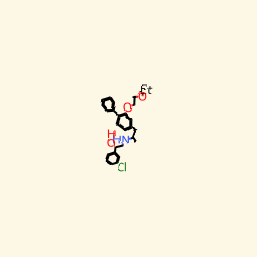 CCOCCOc1cc(CC(C)NCC(O)c2cccc(Cl)c2)ccc1-c1ccccc1